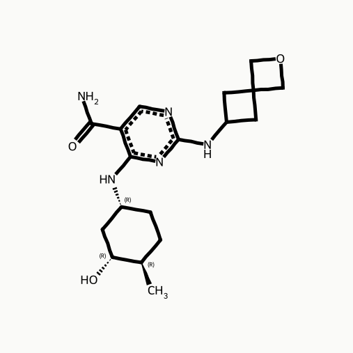 C[C@@H]1CC[C@@H](Nc2nc(NC3CC4(COC4)C3)ncc2C(N)=O)C[C@H]1O